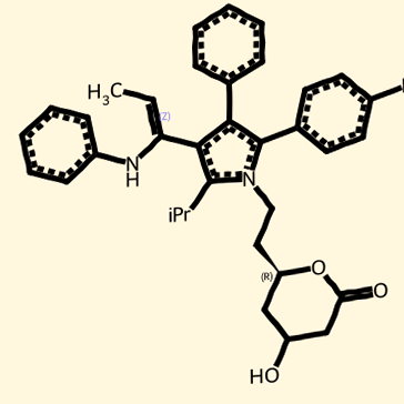 C/C=C(\Nc1ccccc1)c1c(-c2ccccc2)c(-c2ccc(F)cc2)n(CC[C@@H]2CC(O)CC(=O)O2)c1C(C)C